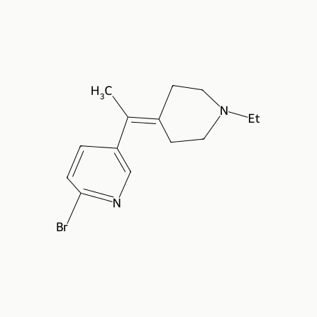 CCN1CCC(=C(C)c2ccc(Br)nc2)CC1